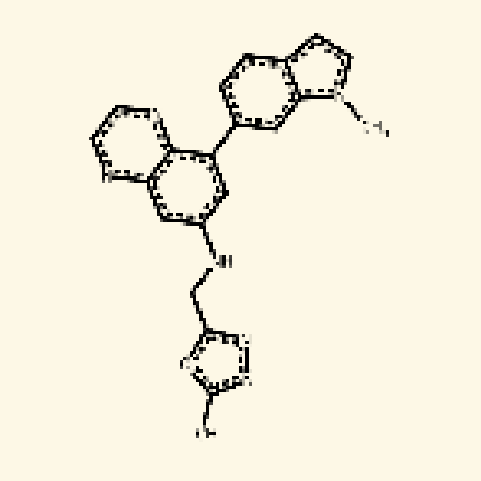 Cc1nnc(CNc2cc(-c3ccc4ccn(C)c4c3)c3nccnc3c2)o1